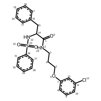 O=C(NCCCOc1cccc(Cl)c1)C(Cc1cc[c]cc1)NS(=O)(=O)c1ccccc1